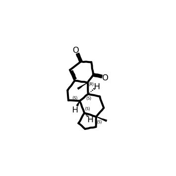 C[C@@]12CCC[C@H]1[C@@H]1CCC3=CC(=O)CC(=O)[C@]3(C)[C@H]1CC2